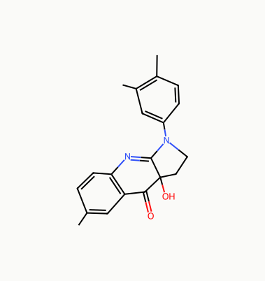 Cc1ccc2c(c1)C(=O)C1(O)CCN(c3ccc(C)c(C)c3)C1=N2